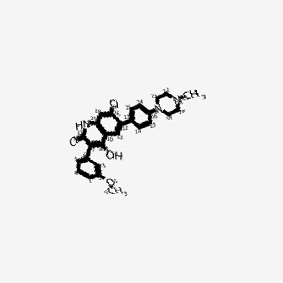 COc1cccc(-c2c(O)c3cc(-c4ccc(N5CCN(C)CC5)cc4)c(Cl)cc3[nH]c2=O)c1